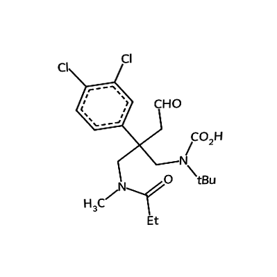 CCC(=O)N(C)CC(CC=O)(CN(C(=O)O)C(C)(C)C)c1ccc(Cl)c(Cl)c1